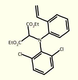 C=Cc1ccccc1N(c1c(Cl)cccc1Cl)C(C(=O)OCC)C(=O)OCC